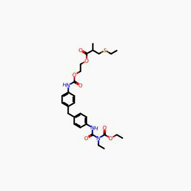 CCOC(=O)N(CC)C(=O)Nc1ccc(Cc2ccc(NC(=O)OCCOC(=O)C(C)CSCC)cc2)cc1